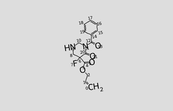 C=CCOC(=O)C1(F)CNCN(C(=O)c2ccccc2)C1=O